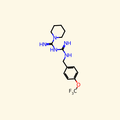 N=C(NCc1ccc(OC(F)(F)F)cc1)NC(=N)N1CCCCC1